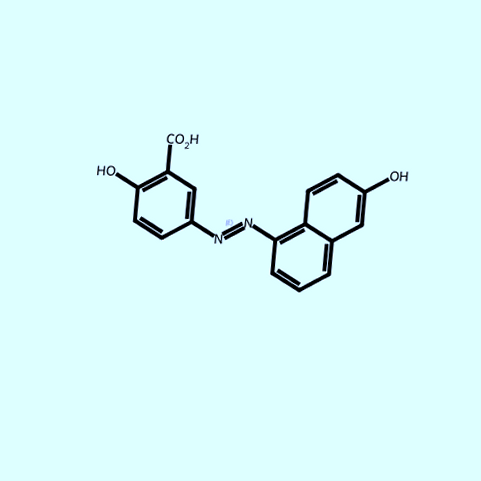 O=C(O)c1cc(/N=N/c2cccc3cc(O)ccc23)ccc1O